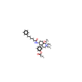 CO[C@]12CC[C@@H](NC(=O)CCCCCc3ccccc3)C[C@]1(c1cccc(OC(C)=O)c1)CC[N+](C)(C)C2